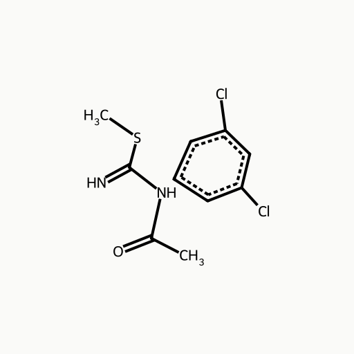 CSC(=N)NC(C)=O.Clc1cccc(Cl)c1